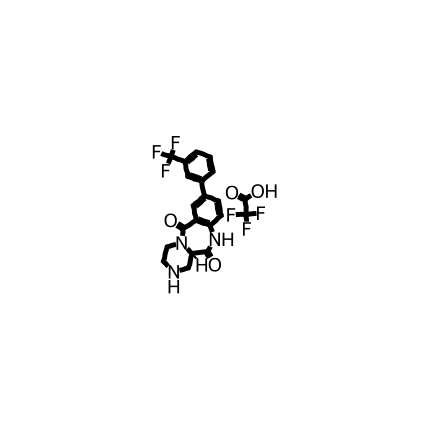 O=C(O)C(F)(F)F.O=C1Nc2ccc(-c3cccc(C(F)(F)F)c3)cc2C(=O)N2CCNC[C@H]12